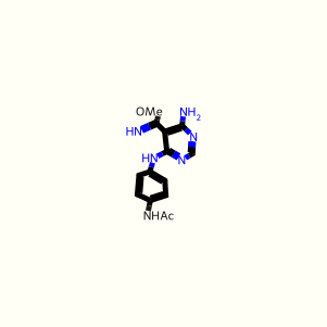 COC(=N)c1c(N)ncnc1Nc1ccc(NC(C)=O)cc1